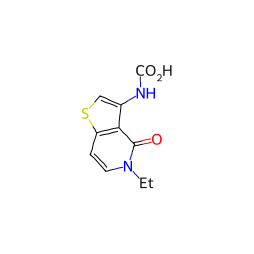 CCn1ccc2scc(NC(=O)O)c2c1=O